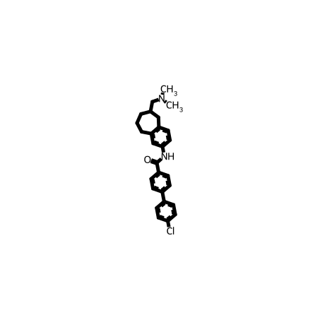 CN(C)CC1CCCc2cc(NC(=O)c3ccc(-c4ccc(Cl)cc4)cc3)ccc2C1